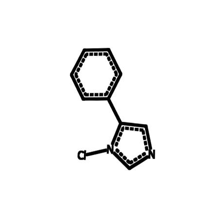 Cln1cncc1-c1ccccc1